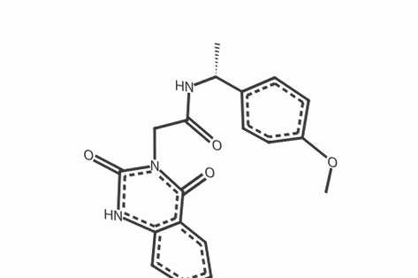 COc1ccc([C@@H](C)NC(=O)Cn2c(=O)[nH]c3ccccc3c2=O)cc1